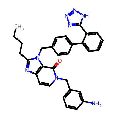 CCCCc1nc2ccn(Cc3cccc(N)c3)c(=O)c2n1Cc1ccc(-c2ccccc2-c2nnn[nH]2)cc1